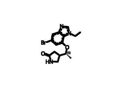 CCn1cnc2cc(Br)cc(O[C@H](C)C3CNC(=O)C3)c21